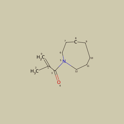 C=C(C)C(=O)N1CCCCCCC1